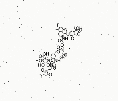 CC[C@]1(O)C(=O)OCc2c1cc1n(c2=O)Cc2c-1nc1cc(F)c(C)c3c1c2[C@H](NC(=O)COCN(CCS(C)(=O)=O)C(=O)OCc1ccc(O[C@H]2OC(C(=O)O)[C@@H](O)C(O)C2O)c(NC(=O)CN(C)C(=O)CCN2C(=O)CC(C(C)C)C2=O)c1)CC3